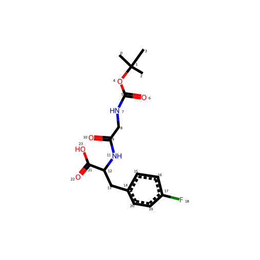 CC(C)(C)OC(=O)NCC(=O)NC(Cc1ccc(F)cc1)C(=O)O